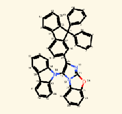 c1ccc(C2(c3ccccc3)c3ccccc3-c3ccc(-c4nc5oc6ccccc6n5c4-n4c5ccccc5c5ccccc54)cc32)cc1